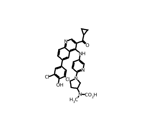 CN(C(=O)O)C1CCN(c2ccc(Nc3c(C(=O)C4CC4)cnc4ccc(-c5cc(Cl)c(O)c(Cl)c5)cc34)cn2)C1